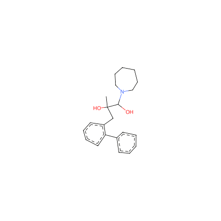 CC(O)(Cc1ccccc1-c1ccccc1)C(O)N1CCCCCC1